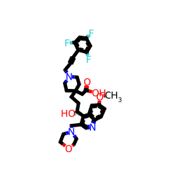 COc1ccc2ncc(CN3CCOCC3)c([C@H](O)CCC3(CC(=O)O)CCN(CC#Cc4c(F)cc(F)cc4F)CC3)c2c1